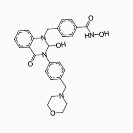 O=C(NO)c1ccc(CN2c3ccccc3C(=O)N(c3ccc(CN4CCOCC4)cc3)C2O)cc1